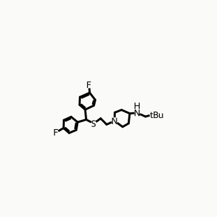 CC(C)(C)CNC1CCN(CCSC(c2ccc(F)cc2)c2ccc(F)cc2)CC1